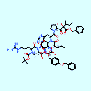 CCC(C)C(O)(C(=O)OCc1ccccc1)C(=O)[C@@H]1CCCN1C(=O)[C@H](Cc1c[nH]cn1)N(C(=O)[C@@H](NC(=O)[C@H](Cc1ccc(OCc2ccccc2)cc1)NC(=O)[C@H](C(C)C)N(C(=O)[C@H](CCCNC(=N)N)NC(=O)OC(C)(C)C)[N+](=O)[O-])[C@@H](C)CC)c1cccc([N+](=O)[O-])c1[N+](=O)[O-]